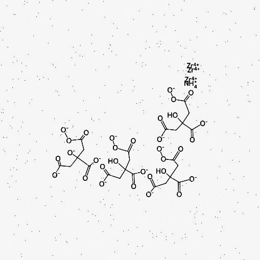 O=C([O-])CC(O)(CC(=O)O[O-])C(=O)[O-].O=C([O-])CC(O)(CC(=O)O[O-])C(=O)[O-].O=C([O-])CC(O)(CC(=O)O[O-])C(=O)[O-].O=C([O-])CC([O-])(CC(=O)O[O-])C(=O)[O-].[NH4+].[Zr+4].[Zr+4].[Zr+4]